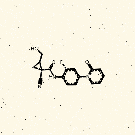 N#CC1(C(=O)Nc2ccc(-n3ccccc3=O)cc2F)CC1CO